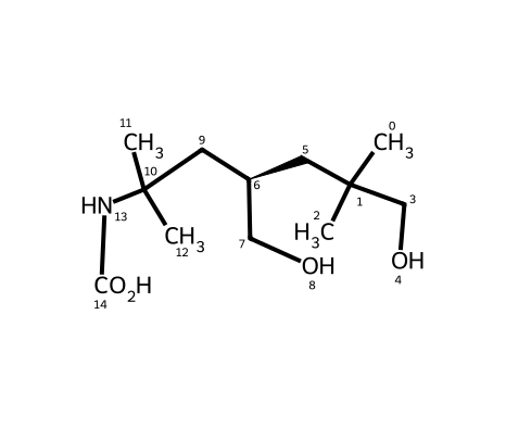 CC(C)(CO)C[C@@H](CO)CC(C)(C)NC(=O)O